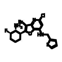 N[C@@H]1[C@@H](c2oc3c(NCc4cccs4)cc(Cl)nc3c2Br)CCC[C@@H]1F